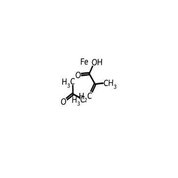 C=C(C)C(=O)O.CC(C)=O.[Fe]